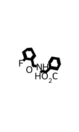 O=C(NC(Cc1ccccc1)C(=O)O)c1ccccc1F